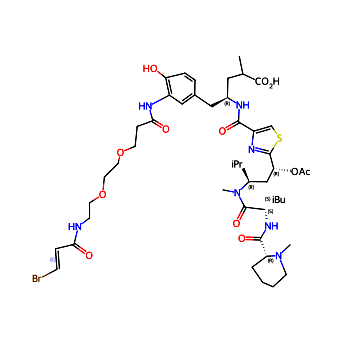 CC[C@H](C)[C@H](NC(=O)[C@H]1CCCCN1C)C(=O)N(C)[C@H](C[C@@H](OC(C)=O)c1nc(C(=O)N[C@@H](Cc2ccc(O)c(NC(=O)CCOCCOCCNC(=O)/C=C/Br)c2)CC(C)C(=O)O)cs1)C(C)C